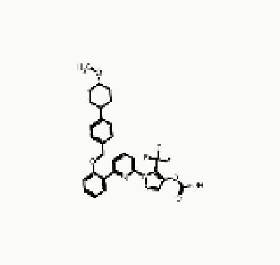 CO[C@H]1CC[C@H](c2ccc(COc3ccccc3-c3cccc(-n4ncc(OC(=O)O)c4C(F)(F)F)n3)cc2)CC1